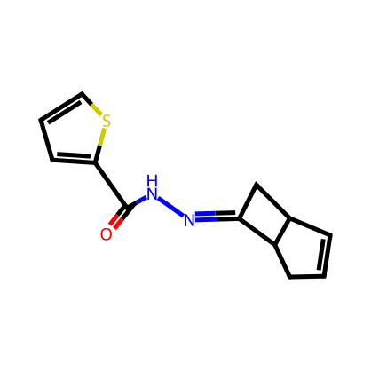 O=C(N/N=C1\CC2C=CCC12)c1cccs1